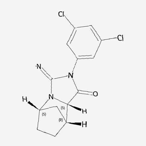 [N]=C1N(c2cc(Cl)cc(Cl)c2)C(=O)[C@@H]2[C@@H]3CC[C@@H](C3)N12